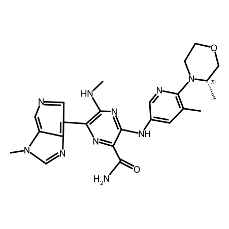 CNc1nc(Nc2cnc(N3CCOC[C@@H]3C)c(C)c2)c(C(N)=O)nc1-c1cncc2c1ncn2C